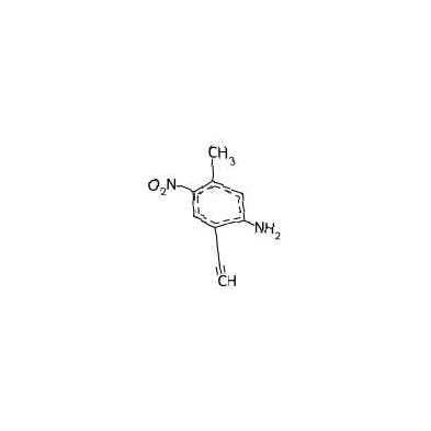 C#Cc1cc([N+](=O)[O-])c(C)cc1N